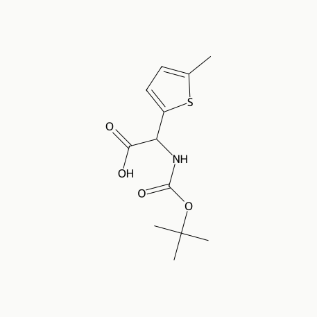 Cc1ccc(C(NC(=O)OC(C)(C)C)C(=O)O)s1